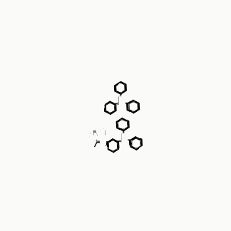 CC(=O)[O][Rh].c1ccc(P(c2ccccc2)c2ccccc2)cc1.c1ccc(P(c2ccccc2)c2ccccc2)cc1